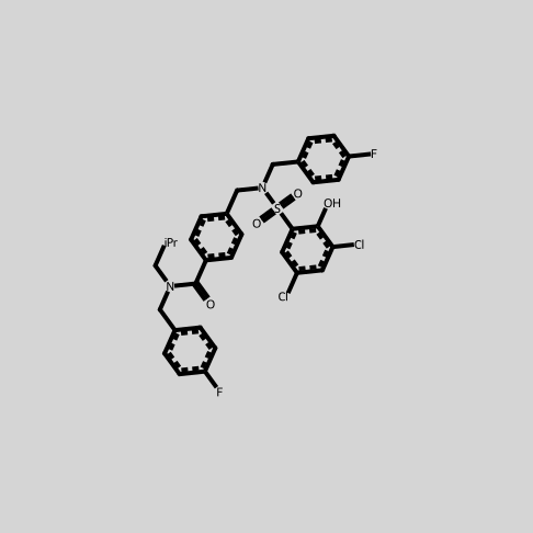 CC(C)CN(Cc1ccc(F)cc1)C(=O)c1ccc(CN(Cc2ccc(F)cc2)S(=O)(=O)c2cc(Cl)cc(Cl)c2O)cc1